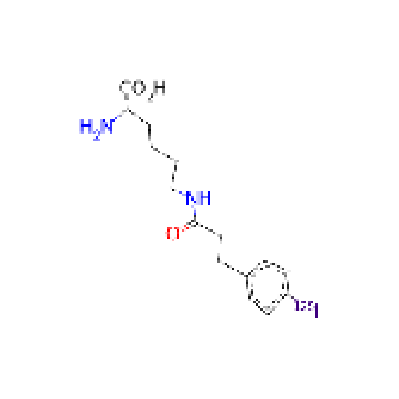 N[C@@H](CCCCNC(=O)CCc1ccc([125I])cc1)C(=O)O